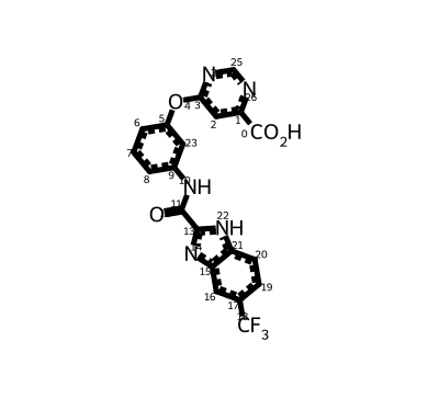 O=C(O)c1cc(Oc2cccc(NC(=O)c3nc4cc(C(F)(F)F)ccc4[nH]3)c2)ncn1